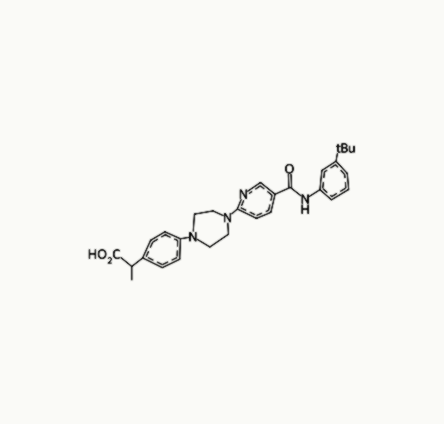 CC(C(=O)O)c1ccc(N2CCN(c3ccc(C(=O)Nc4cccc(C(C)(C)C)c4)cn3)CC2)cc1